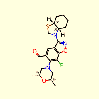 C[C@@H]1CN(c2c(C=O)cc3c(N4CS[C@@H]5CCCC[C@@H]54)noc3c2F)C[C@@H](C)O1